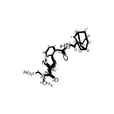 CN(CC(=O)O)C(=O)c1cc2c(C(=O)NCC34CC5CC(CC(C5)C3)C4)cccn2n1